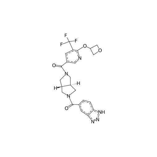 O=C(c1cnc(OC2COC2)c(C(F)(F)F)c1)N1C[C@H]2CN(C(=O)c3ccc4[nH]nnc4c3)C[C@@H]2C1